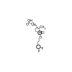 CC1=C(CN2CC(C(=O)O)C2)CCc2cc(OCCCc3ccc(F)c(F)c3)ccc21.Cl